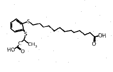 CC(CC(=O)O)Sc1ccccc1SCCCCCCCCCCCCC(=O)O